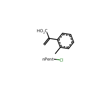 C=C(C(=O)O)c1ccccc1C.CCCCCCl